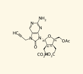 C#CCn1c(=O)n([C@@H]2O[C@@H](COC(C)=O)[C@@H](CC(=O)O)[C@H]2CC(=O)O)c2nc(N)ncc21